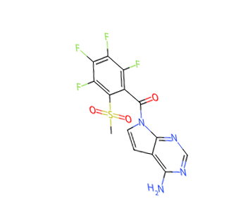 CS(=O)(=O)c1c(F)c(F)c(F)c(F)c1C(=O)n1ccc2c(N)ncnc21